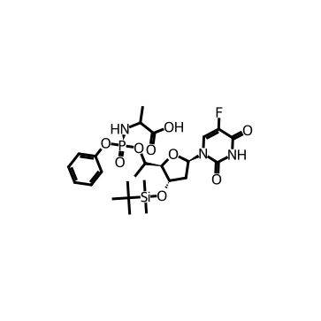 CC(N[P@@](=O)(Oc1ccccc1)OC(C)[C@H]1O[C@@H](n2cc(F)c(=O)[nH]c2=O)C[C@@H]1O[Si](C)(C)C(C)(C)C)C(=O)O